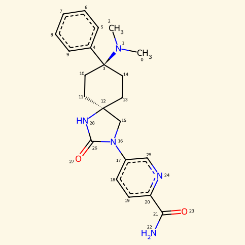 CN(C)[C@]1(c2ccccc2)CC[C@]2(CC1)CN(c1ccc(C(N)=O)nc1)C(=O)N2